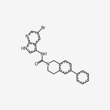 O=C(Nc1c[nH]c2ncc(Br)cc12)N1CCc2cc(-c3ccccc3)ccc2C1